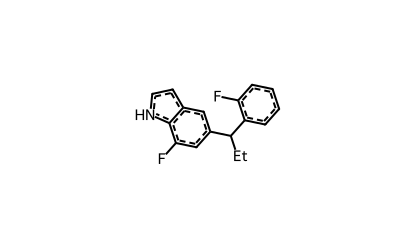 [CH2]CC(c1cc(F)c2[nH]ccc2c1)c1ccccc1F